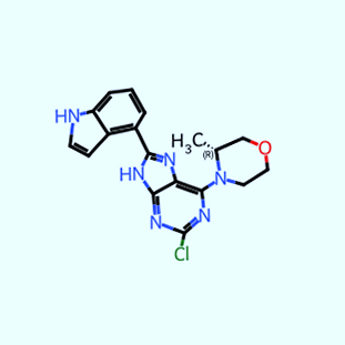 C[C@@H]1COCCN1c1nc(Cl)nc2[nH]c(-c3cccc4[nH]ccc34)nc12